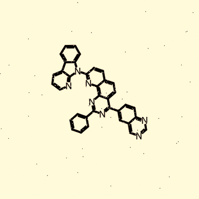 c1ccc(-c2nc(-c3ccc4ncncc4c3)c3ccc4ccc(-n5c6ccccc6c6cccnc65)nc4c3n2)cc1